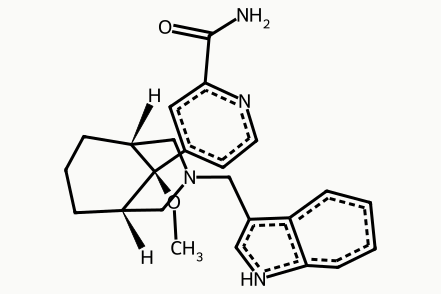 CO[C@]1(c2ccnc(C(N)=O)c2)[C@@H]2CCC[C@H]1CN(Cc1c[nH]c3ccccc13)C2